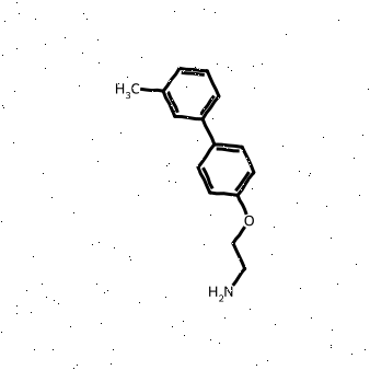 Cc1cccc(-c2ccc(OCCN)cc2)c1